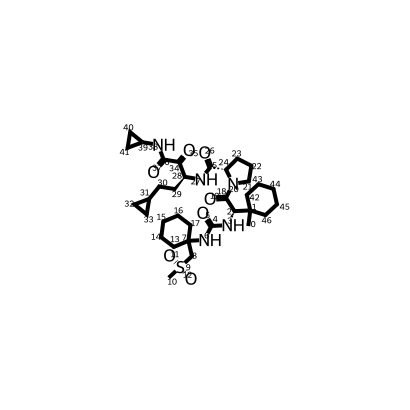 CC1([C@H](NC(=O)NC2(CS(C)(=O)=O)CCCCC2)C(=O)N2CCC[C@H]2C(=O)N[C@@H](CCC2CC2)C(=O)C(=O)NC2CC2)CCCCC1